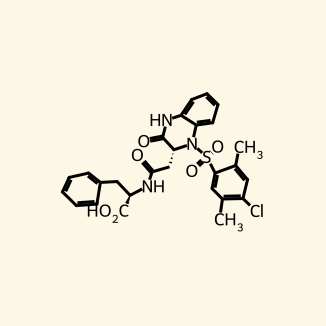 Cc1cc(S(=O)(=O)N2c3ccccc3NC(=O)[C@H]2CC(=O)N[C@H](Cc2ccccc2)C(=O)O)c(C)cc1Cl